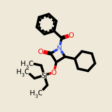 CC[Si](CC)(CC)OC1C(=O)N(C(=O)c2ccccc2)C1C1CCCCC1